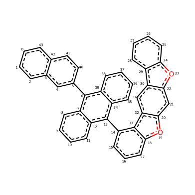 c1ccc2cc(-c3c4ccccc4c(-c4cccc5oc6cc7oc8ccccc8c7cc6c45)c4ccccc34)ccc2c1